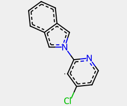 Clc1[c]c(-n2cc3ccccc3c2)ncc1